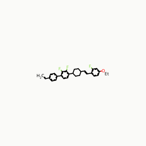 C=Cc1ccc(-c2ccc(C3CCC(/C=C/c4ccc(OCC)cc4F)CC3)c(F)c2F)cc1